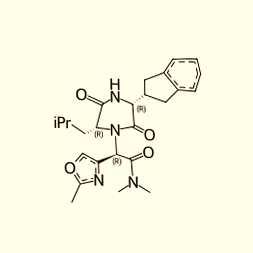 Cc1nc([C@H](C(=O)N(C)C)N2C(=O)[C@@H](C3Cc4ccccc4C3)NC(=O)[C@H]2CC(C)C)co1